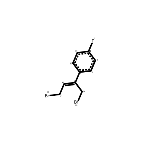 Fc1ccc(C(=CCBr)CBr)cc1